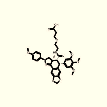 COc1ccc(N2C[C@@H]3C(=N2)c2cc4c(cc2[C@@H](c2cc(OC)c(OC)c(OC)c2)[C@H]3C(=O)NCCOCCC(=O)O)OCO4)cc1